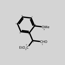 CCOC(=O)C(C=O)c1ccccc1OC